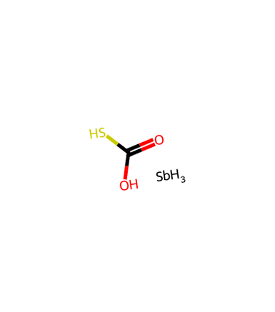 O=C(O)S.[SbH3]